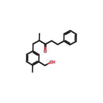 Cc1ccc(CC(C)C(=O)CCc2ccccc2)cc1CO